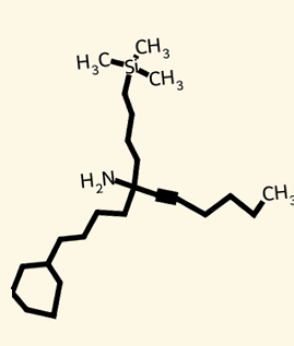 CCCCC#CC(N)(CCCCC1CCCCC1)CCCC[Si](C)(C)C